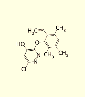 C=Cc1c(C)cc(C)c(C)c1Oc1nnc(Cl)cc1O